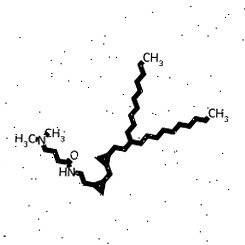 CCCCCCCCCCC(CCCCCCCCCC)CCC1CC1CC1CC1CCNC(=O)CCCN(C)C